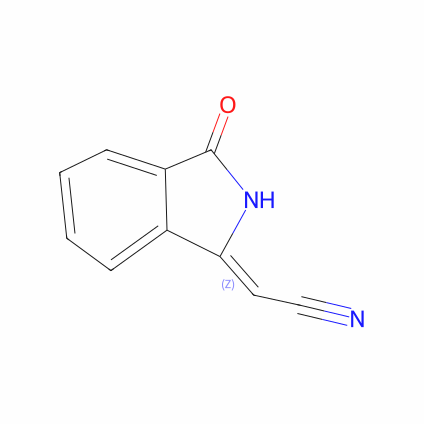 N#C/C=C1\NC(=O)c2ccccc21